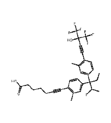 CCC(c1ccc(C#CCCCCC(=O)O)c(C)c1)(c1ccc(C#CC(O)(C(F)(F)F)C(F)(F)F)c(C)c1)C(C)I